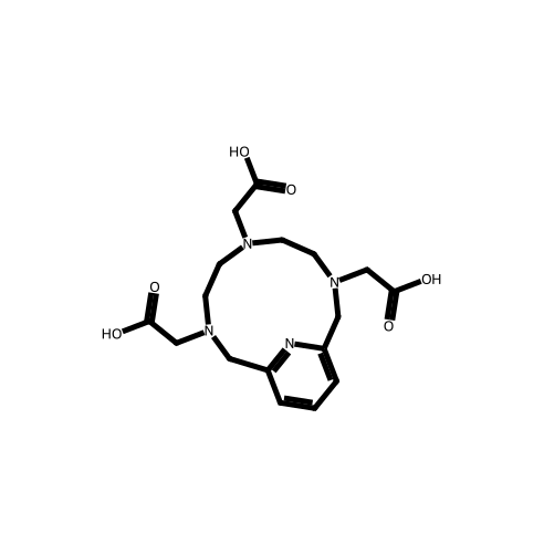 O=C(O)CN1CCN(CC(=O)O)Cc2cccc(n2)CN(CC(=O)O)CC1